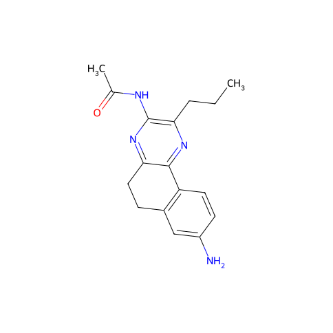 CCCc1nc2c(nc1NC(C)=O)CCc1cc(N)ccc1-2